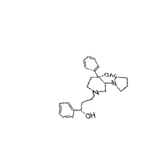 CC(=O)OC1(c2ccccc2)CCN(CCC(O)c2ccccc2)CC1N1CCCC1